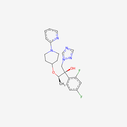 C[C@@H](OC1CCN(c2ccccn2)CC1)[C@](O)(Cn1cncn1)c1ccc(F)cc1F